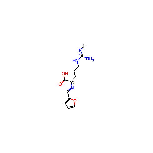 [H]/N=C(\N)NCCC[C@H](N=Cc1ccco1)C(=O)O